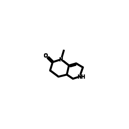 CN1C(=O)CCC2CNCC=C21